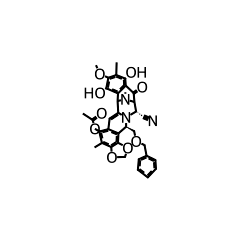 COc1c(C)c(O)c2c(c1O)C1C3=Cc4c(OC(C)=O)c(C)c5c(c4[C@H](COCc4ccccc4)N3[C@@H](C#N)C(C2=O)N1C)OCO5